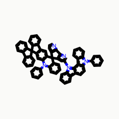 c1ccc(N2c3ccccc3C3(c4cc5c(cc42)C2(c4ccccc4-c4ccccc42)c2ccccc2-5)c2cccnc2-c2ncc(-n4c5ccccc5c5ccc6c(c7ccccc7n6-c6ccccc6)c54)cc23)cc1